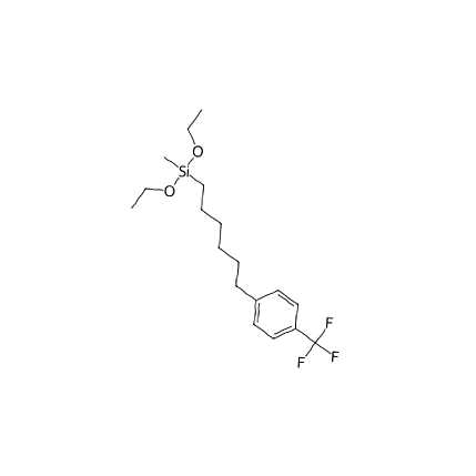 CCO[Si](C)(CCCCCCc1ccc(C(F)(F)F)cc1)OCC